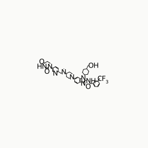 CN(Cc1ccc(N2CCC(=O)NC2=O)cn1)C1CCN(c2ccc3nc(NC(=O)c4cccc(C(F)(F)F)c4)n(C4CCC(CO)CC4)c3c2)CC1